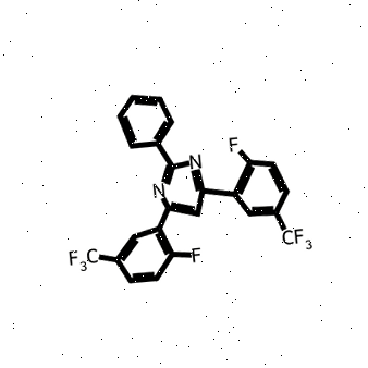 Fc1ccc(C(F)(F)F)cc1-c1cc(-c2cc(C(F)(F)F)ccc2F)nc(-c2ccccc2)n1